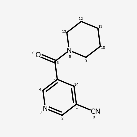 N#Cc1cncc(C(=O)N2CCCCC2)c1